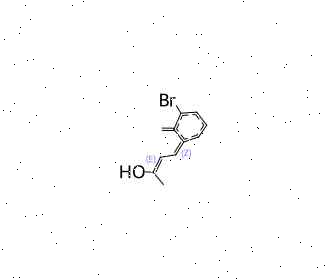 C=c1c(Br)ccc/c1=C/C=C(\C)O